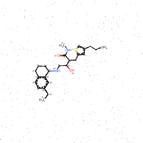 CCCc1csc(CC(C(=O)NC)C(O)CNC2CCCc3ccc(CC)cc32)c1